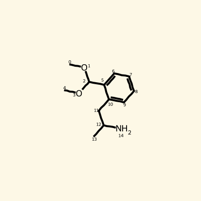 COC(OC)c1ccccc1CC(C)N